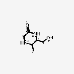 CC1NCC(=O)NC1CO